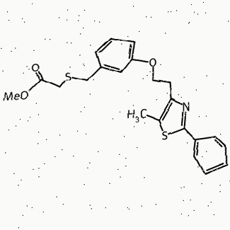 COC(=O)CSCc1cccc(OCCc2nc(-c3ccccc3)sc2C)c1